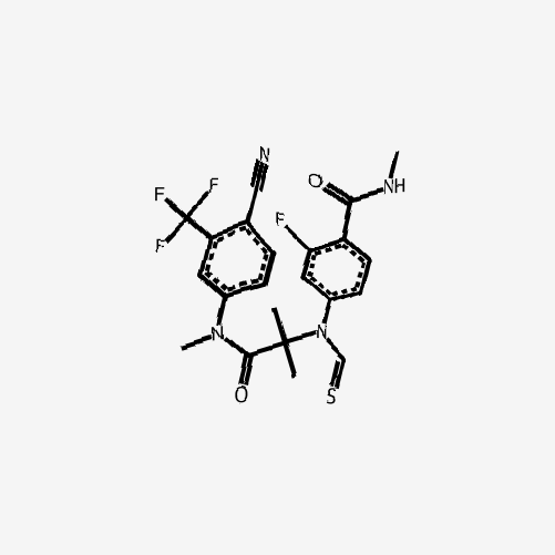 CNC(=O)c1ccc(N(C=S)C(C)(C)C(=O)N(C)c2ccc(C#N)c(C(F)(F)F)c2)cc1F